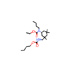 CCCCOC(=O)NCC1(C)CC(N(CCCC)C(=O)OCC)CC(C)(C)C1